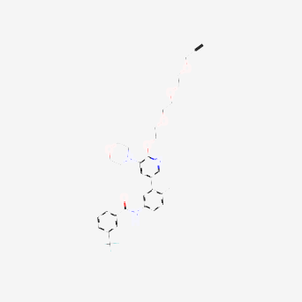 C#CCOCCOCCOCCOc1ncc(-c2cc(NC(=O)c3cccc(C(F)(F)F)c3)ccc2C)cc1N1CCOCC1